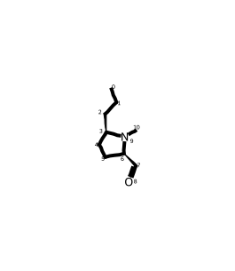 CCC[C@@H]1CC[C@H](C=O)N1C